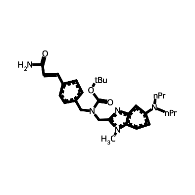 CCCN(CCC)c1ccc2c(c1)nc(CN(Cc1ccc(/C=C/C(N)=O)cc1)C(=O)OC(C)(C)C)n2C